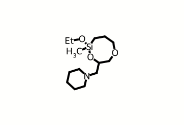 CCO[Si]1(C)CCCOCC(CN2CCCCC2)O1